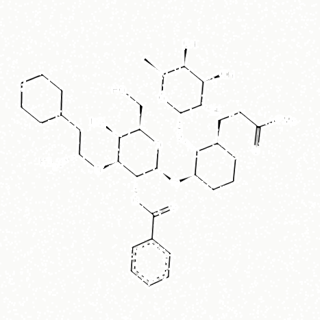 COC(=O)CC[C@H]1CCC[C@@H](O[C@@H]2O[C@H](CO)[C@H](O)[C@H](O[C@@H](CC3CCCCC3)C(=O)O)[C@H]2OC(=O)c2ccccc2)[C@@H]1O[C@@H]1O[C@@H](C)[C@@H](O)[C@@H](O)[C@@H]1O